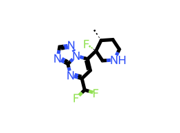 C[C@@H]1CCNC[C@@]1(F)c1cc(C(F)F)nc2ncnn12